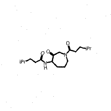 CC(C)CCC(=O)NC1CCCN(C(=O)CCC(C)C)CC1=O